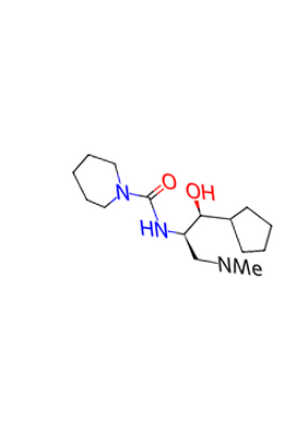 CNC[C@@H](NC(=O)N1CCCCC1)[C@@H](O)C1CCCC1